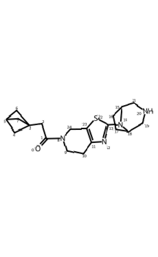 O=C(CC12CC(C1)C2)N1CCc2nc(N3C4CCC3CNC4)sc2C1